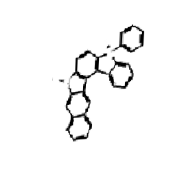 Cn1c2cc3ccccc3cc2c2c3c(ccc21)P(=S)(c1ccccc1)c1ccccc1-3